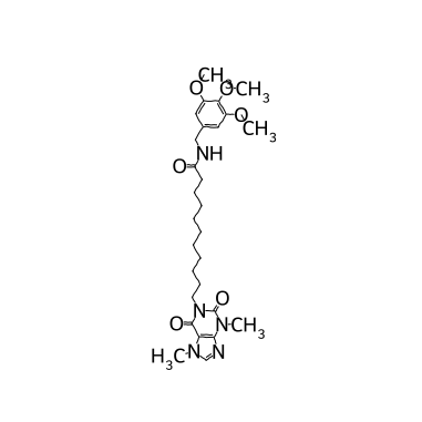 COc1cc(CNC(=O)CCCCCCCCCCn2c(=O)c3c(ncn3C)n(C)c2=O)cc(OC)c1OC